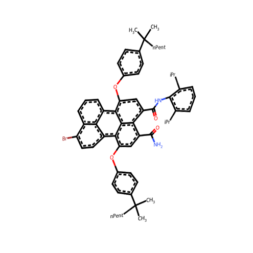 CCCCCC(C)(C)c1ccc(Oc2cc(C(N)=O)c3c(C(=O)Nc4c(C(C)C)cccc4C(C)C)cc(Oc4ccc(C(C)(C)CCCCC)cc4)c4c5cccc6c(Br)ccc(c2c34)c65)cc1